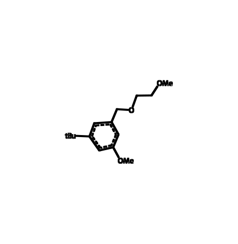 COCCOCc1cc(OC)cc(C(C)(C)C)c1